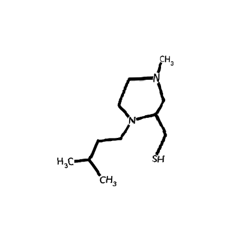 CC(C)CCN1CCN(C)CC1CS